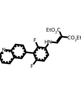 CCOC(=O)C(=CNc1ccc(F)c(-c2ccc3ncccc3c2)c1F)C(=O)OCC